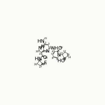 CNc1cc(Nc2cccn(C3CCC[C@H]3O)c2=O)nc2c(C(=O)NC3CC[C@H]3F)cnn12